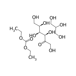 CCOC(=O)OCC.O=C(CO)[C@H](O)[C@@H](O)[C@H](O)CO.OCC(O)CO